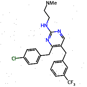 CNCCNc1ncc(Cc2cccc(C(F)(F)F)c2)c(Cc2ccc(Cl)cc2)n1